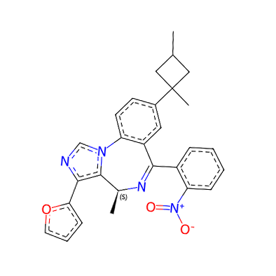 CC1CC(C)(c2ccc3c(c2)C(c2ccccc2[N+](=O)[O-])=N[C@@H](C)c2c(-c4ccco4)ncn2-3)C1